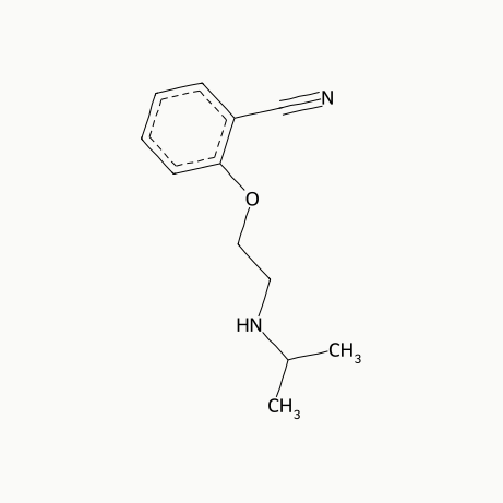 CC(C)NCCOc1ccccc1C#N